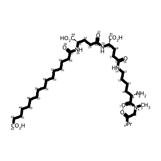 CC(C)C(=O)CN(C)C(=O)[C@@H](N)CCCCNC(=O)CC[C@H](NC(=O)CC[C@H](NC(=O)CCCCCCCCCCCCCCC(=O)O)C(=O)O)C(=O)O